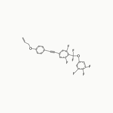 C=CCOc1ccc(C#Cc2cc(F)c(C(F)(F)Oc3cc(F)c(F)c(F)c3)c(F)c2)cc1